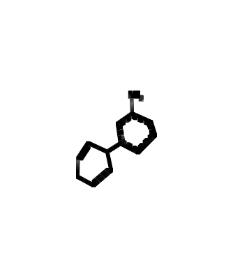 Nc1cccc(C2C=CCC=C2)c1